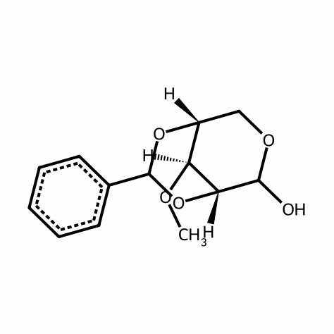 CO[C@H]1[C@H]2COC(O)[C@@H]1OC(c1ccccc1)O2